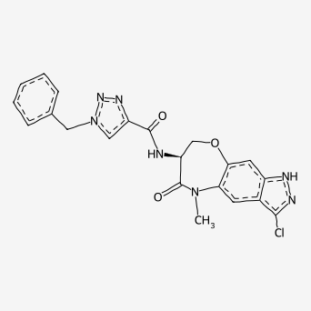 CN1C(=O)[C@@H](NC(=O)c2cn(Cc3ccccc3)nn2)COc2cc3[nH]nc(Cl)c3cc21